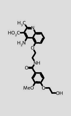 COc1cc(C(=O)NCCOc2cccc3nc(C)c(C(=O)O)c(N)c23)ccc1OCCO